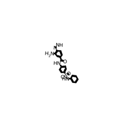 N=Nc1ccc(C(=O)Nc2ccc(S(=O)(=O)Nc3ccccc3)cc2)cc1N